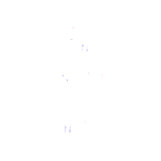 NC(=O)C=Cc1nc2cc(=O)nc-2c1=O